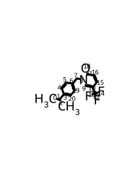 CC(C)c1ccc(Cn2cc(C(F)(F)F)ccc2=O)cc1